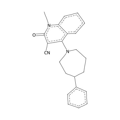 Cn1c(=O)c(C#N)c(N2CCCC(c3ccccc3)CC2)c2ccccc21